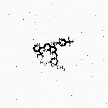 C[C@@H]1CN(Cc2cc(Nc3ccc(C(F)(F)F)cn3)c3ccc(-c4ncccc4C(F)(F)F)nc3n2)C[C@H](C)O1